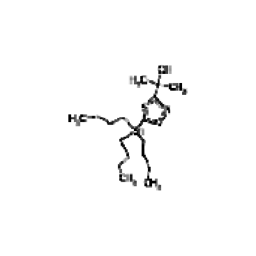 CCC[CH2][Sn]([CH2]CCC)([CH2]CCC)[c]1cnc(C(C)(C)O)s1